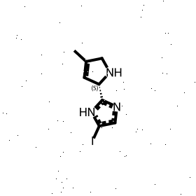 CC1=C[C@@H](c2ncc(I)[nH]2)NC1